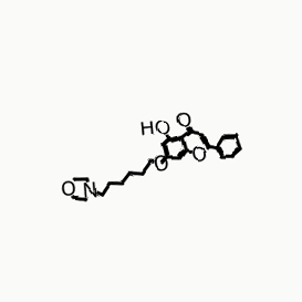 O=c1cc(-c2ccccc2)oc2cc(OCCCCCCN3CCOCC3)cc(O)c12